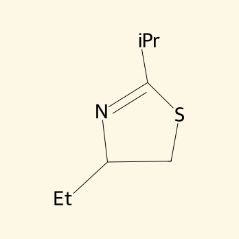 CCC1CSC(C(C)C)=N1